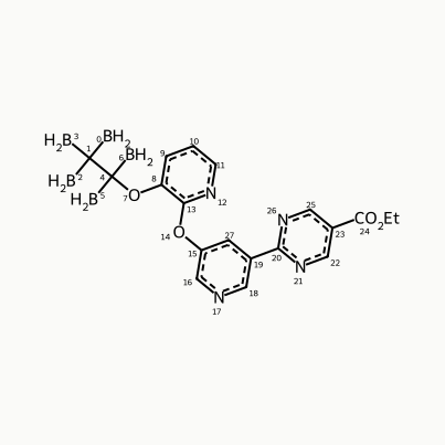 BC(B)(B)C(B)(B)Oc1cccnc1Oc1cncc(-c2ncc(C(=O)OCC)cn2)c1